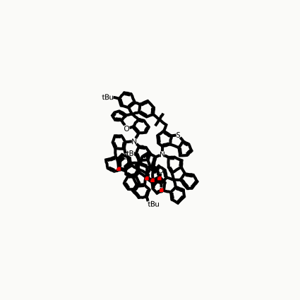 CC(C)(C)c1ccc2c(c1)C1(c3ccccc3Oc3c(N(c4ccc5c(c4)C(c4ccccc4)(c4ccccc4)c4ccccc4-5)c4cccc5c4sc4ccccc45)cccc31)c1cc(C(C)(C)Cc3ccc(N(c4ccc5c(c4)C4(c6ccccc6Sc6ccccc64)c4ccccc4-5)c4cccc5c4Oc4ccccc4C54c5cc(C(C)(C)C)ccc5-c5ccc(C(C)(C)C)cc54)c4c3sc3ccccc34)ccc1-2